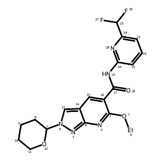 CCOc1nc2nn(C3CCCCO3)cc2cc1C(=O)Nc1cccc(C(F)F)n1